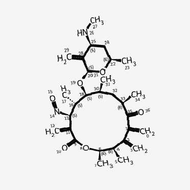 C=C1C(=C)[C@@H](C)[C@@H](C)OC(=O)C(=C)[C@@H](N=O)[C@H](C)[C@@H](O[C@@H]2O[C@H](C)C[C@H](NC)C2=C)[C@@H](C)C[C@@H](C)C1=O